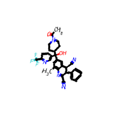 CC(=O)N1CCC(C(O)(c2ccc(C(F)(F)F)nc2)c2cc(C)c3c(c2)C(C#N)C(c2ccccc2)C(C#N)=N3)CC1